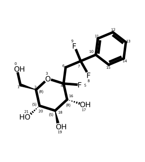 OC[C@H]1OC(F)(CC(F)(F)c2ccccc2)[C@H](O)[C@@H](O)[C@@H]1O